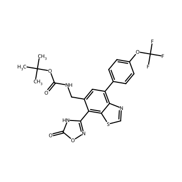 CC(C)(C)OC(=O)NCc1cc(-c2ccc(OC(F)(F)F)cc2)c2ncsc2c1-c1noc(=O)[nH]1